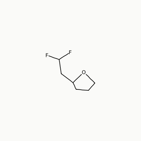 FC(F)CC1CCCO1